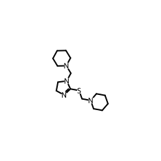 C1CCN(CSC2=NCCN2CN2CCCCC2)CC1